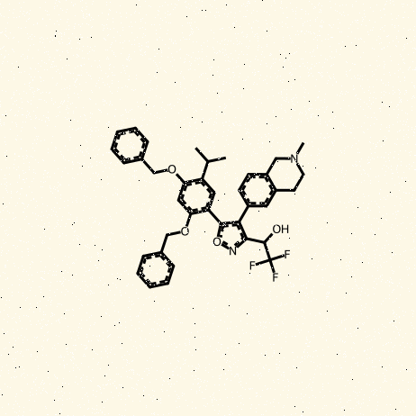 CC(C)c1cc(-c2onc(C(O)C(F)(F)F)c2-c2ccc3c(c2)CCN(C)C3)c(OCc2ccccc2)cc1OCc1ccccc1